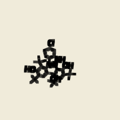 CC(C)(C)c1cc(N2Nc3cc(Cl)ccc3N2c2c(CO)cc(C(C)(C)C)c(O)c2C(C)(C)C)c(O)c(C(C)(C)C)c1